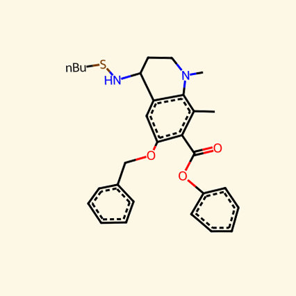 CCCCSNC1CCN(C)c2c1cc(OCc1ccccc1)c(C(=O)Oc1ccccc1)c2C